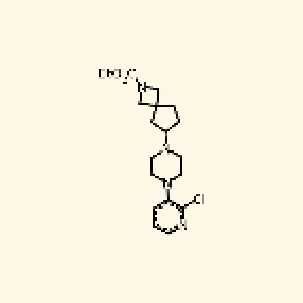 CCOC(=O)N1CC2(CC[C@@H](N3CCN(c4cccnc4Cl)CC3)C2)C1